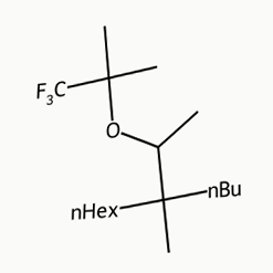 CCCCCCC(C)(CCCC)C(C)OC(C)(C)C(F)(F)F